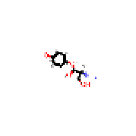 C[C@](N)(CO)C(=O)Oc1ccc(O)cc1